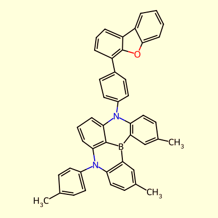 Cc1ccc(N2c3ccc(C)cc3B3c4cc(C)ccc4N(c4ccc(-c5cccc6c5oc5ccccc56)cc4)c4cccc2c43)cc1